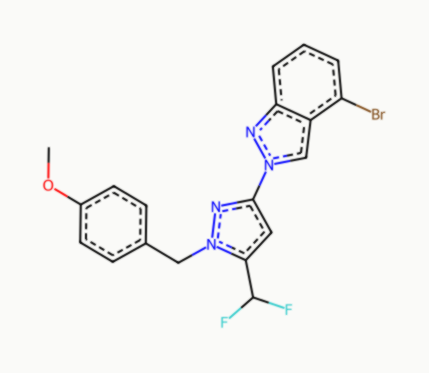 COc1ccc(Cn2nc(-n3cc4c(Br)cccc4n3)cc2C(F)F)cc1